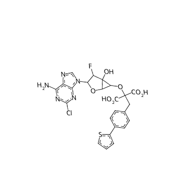 Nc1nc(Cl)nc2c1ncn2C1OC2C(OC(Cc3ccc(-c4cccs4)cc3)(C(=O)O)C(=O)O)C2(O)C1F